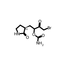 NC(=O)OC(C[C@@H]1CCNC1=O)C(=O)CBr